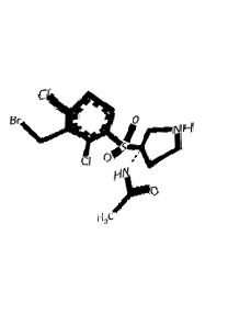 CC(=O)N[C@@]1(S(=O)(=O)c2ccc(Cl)c(CBr)c2Cl)CCNC1